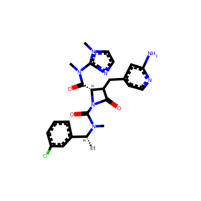 CC[C@H](c1cccc(Cl)c1)N(C)C(=O)N1C(=O)C(Cc2ccnc(N)c2)[C@H]1C(=O)N(C)c1nccn1C